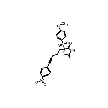 COc1ccc(S(=O)(=O)C2(CCCC#Cc3ccc([N+](=O)[O-])cc3)SC(=O)NC2=O)cc1